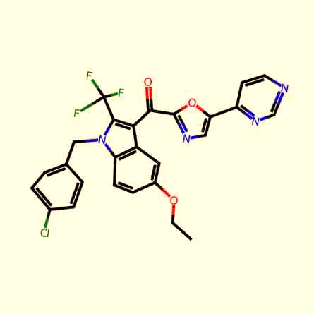 CCOc1ccc2c(c1)c(C(=O)c1ncc(-c3ccncn3)o1)c(C(F)(F)F)n2Cc1ccc(Cl)cc1